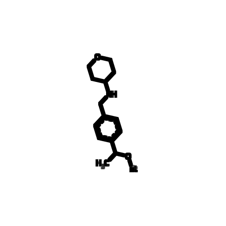 CCOC(C)c1ccc(CNC2CCOCC2)cc1